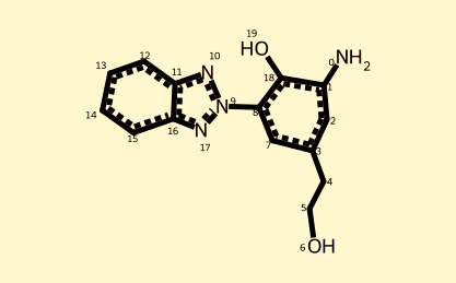 Nc1cc(CCO)cc(-n2nc3ccccc3n2)c1O